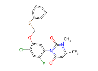 Cn1c(C(F)(F)F)cc(=O)n(-c2cc(OCSc3ccccc3)c(Cl)cc2F)c1=O